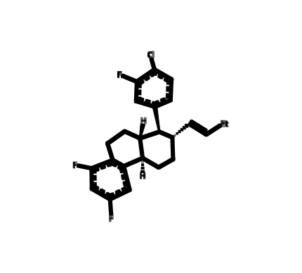 CC/C=C/[C@@H]1CC[C@H]2c3cc(F)cc(F)c3CC[C@@H]2[C@H]1c1ccc(Cl)c(F)c1